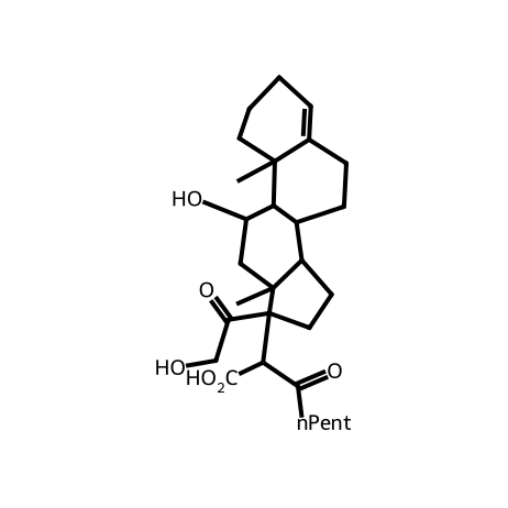 CCCCCC(=O)C(C(=O)O)C1(C(=O)CO)CCC2C3CCC4=CCCCC4(C)C3C(O)CC21C